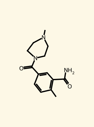 Cc1ccc(C(=O)N2CCN(C)CC2)cc1C(N)=O